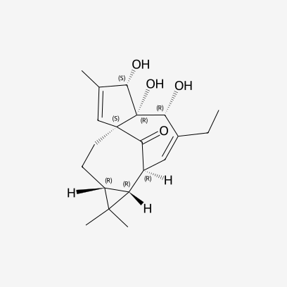 CCC1=C[C@@H]2C(=O)[C@]3(C=C(C)[C@H](O)[C@@]3(O)[C@@H]1O)CC[C@@H]1[C@H]2C1(C)C